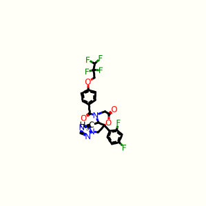 CC1N(C(=O)c2ccc(OCC(F)(F)C(F)F)cc2)CC(=O)OC1(Cn1cncn1)c1ccc(F)cc1F